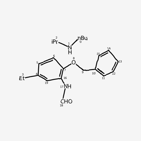 CCCCNC(C)C.CCc1ccc(OCc2ccccc2)c(NC=O)c1